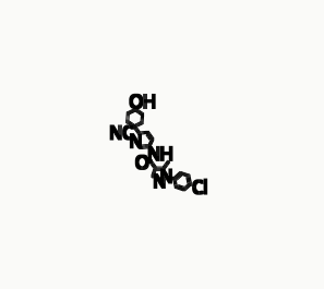 Cc1c(C(=O)Nc2ccc(C3(C#N)CCC(O)CC3)nc2)cnn1-c1ccc(Cl)cc1